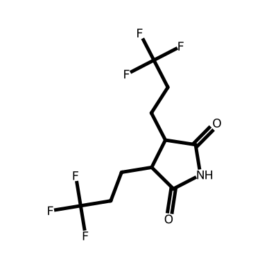 O=C1NC(=O)C(CCC(F)(F)F)C1CCC(F)(F)F